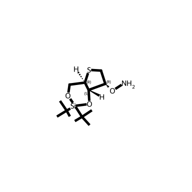 CC(C)(C)[Si]1(C(C)(C)C)OC[C@H]2SC[C@H](ON)[C@@H]2O1